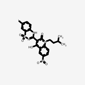 CC(C)CCn1c(=O)c(C2=NS(=O)(=O)c3cc(I)ccc3N2)c(O)c2cc([N+](=O)[O-])ccc21